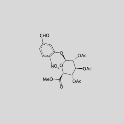 COC(=O)[C@H]1O[C@@H](Oc2cc(C=O)ccc2[N+](=O)[O-])[C@H](OC(C)=O)[C@@H](OC(C)=O)[C@@H]1OC(C)=O